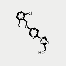 OCc1ncn(-c2ccc(OCc3c(Cl)cccc3Cl)cn2)n1